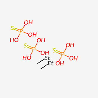 CCC.CCC.OP(O)(O)=S.OP(O)(O)=S.OP(O)(O)=S